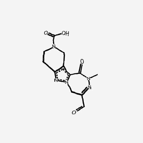 CN1N=C(C=O)Cn2nc3c(c2C1=O)CN(C(=O)O)CC3